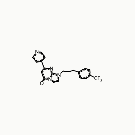 O=c1cc(-c2ccncc2)nc2n(CCCc3ccc(C(F)(F)F)cc3)ccn12